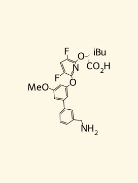 CC[C@@H](C)[C@@H](Oc1nc(Oc2cc(OC)cc(-c3cccc(CN)c3)c2)c(F)cc1F)C(=O)O